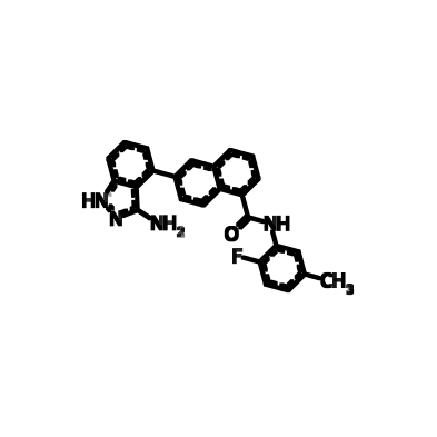 Cc1ccc(F)c(NC(=O)c2cccc3cc(-c4cccc5[nH]nc(N)c45)ccc23)c1